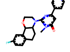 Cn1c(N2CCOC3c4cc(F)ccc4CCC32)nc(-c2ccncc2)cc1=O